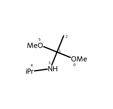 COC(C)(NC(C)C)OC